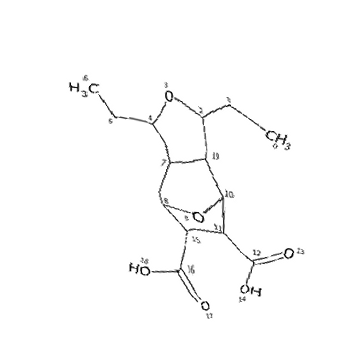 CCC1OC(CC)C2C3OC(C(C(=O)O)C3C(=O)O)C12